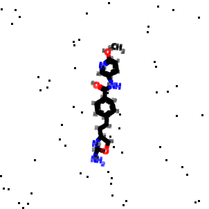 COc1ccc(NC(=O)c2ccc(CCC3COC(N)=N3)cc2)cn1